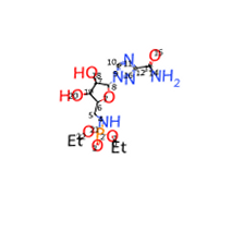 CCOP(=O)(NCC1O[C@@H](n2cnc(C(N)=O)n2)[C@H](O)[C@@H]1O)OCC